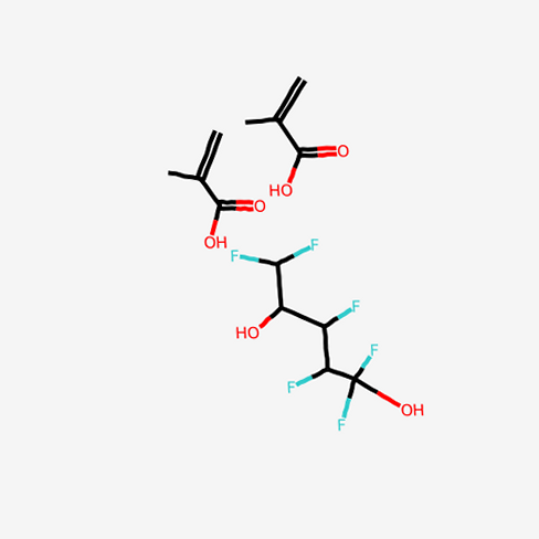 C=C(C)C(=O)O.C=C(C)C(=O)O.OC(C(F)F)C(F)C(F)C(O)(F)F